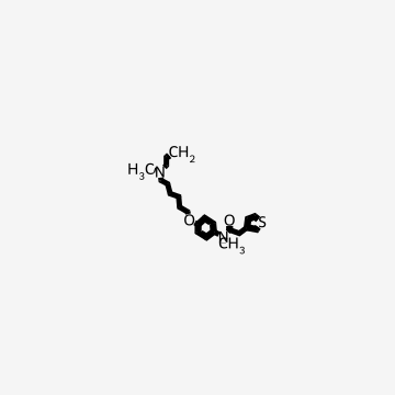 C=CCN(C)CCCCCCOc1ccc(N(C)C(=O)Cc2ccsc2)cc1